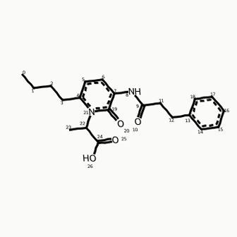 CCCCc1ccc(NC(=O)CCc2ccccc2)c(=O)n1C(C)C(=O)O